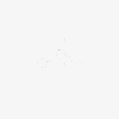 O=C(O)OC1CCC(OC(=O)O)O1.O=C(O)OC1CCOC1OC(=O)O